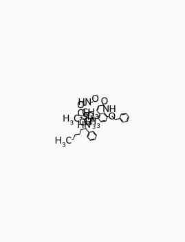 CCCCCC(NC[C@H](O[Si](C)(C)C(C)(C)C)c1ccc(OCc2ccccc2)c2[nH]c(=O)ccc12)c1ccccc1.O=CNC=O